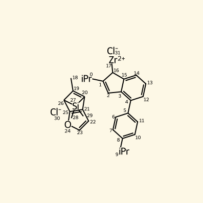 CC(C)C1=Cc2c(-c3ccc(C(C)C)cc3)cccc2[CH]1[Zr+2].CC1=C2c3ccoc3C1[Si]2(C)C.[Cl-].[Cl-]